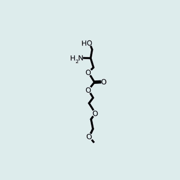 COCCOCCOC(=O)OCC(N)CO